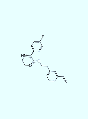 Fc1ccc([C@@H]2NCCO[C@H]2OCCc2cccc(C=S)c2)cc1